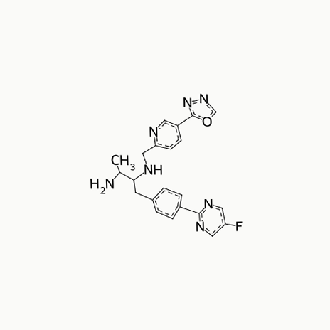 CC(N)C(Cc1ccc(-c2ncc(F)cn2)cc1)NCc1ccc(-c2nnco2)cn1